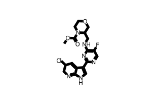 COC(=O)N1CCOCC1CNc1nc(-c2c[nH]c3c2=CC(Cl)CN=3)ncc1F